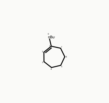 CCC[CH]C1=CCCCCC1